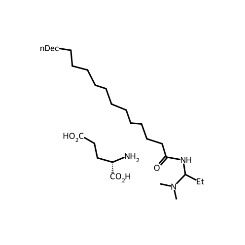 CCCCCCCCCCCCCCCCCCCCCC(=O)NC(CC)N(C)C.N[C@@H](CCC(=O)O)C(=O)O